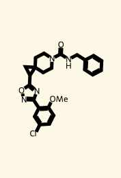 COc1ccc(Cl)cc1-c1noc(C2CC23CCN(C(=O)NCc2ccccc2)CC3)n1